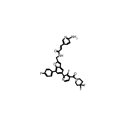 Nc1ccc(/C=C/C(=O)NCc2cc3cc(-c4nccc(C(=O)N5CCC(F)(F)CC5)c4F)cc(-c4ccc(F)cc4)c3o2)cn1